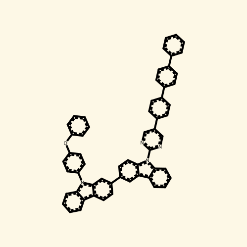 c1ccc(Oc2ccc(-n3c4ccccc4c4ccc(-c5ccc6c(c5)c5ccccc5n6-c5ncc(-c6ccc(-c7ccc(-c8ccccc8)cc7)cc6)cn5)cc43)cc2)cc1